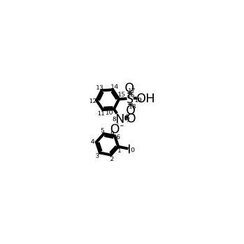 Ic1ccccc1.O=[N+]([O-])c1ccccc1S(=O)(=O)O